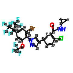 O=C(NC1CC1)c1cc(-c2cnn(-c3c(Br)cc(C(F)(C(F)(F)F)C(F)(F)F)cc3OC(F)(F)F)c2)ccc1Cl